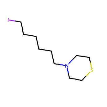 ICCCCCCN1CCSCC1